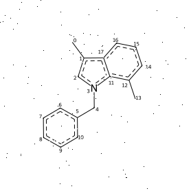 Cc1cn(Cc2ccccc2)c2c(C)cccc12